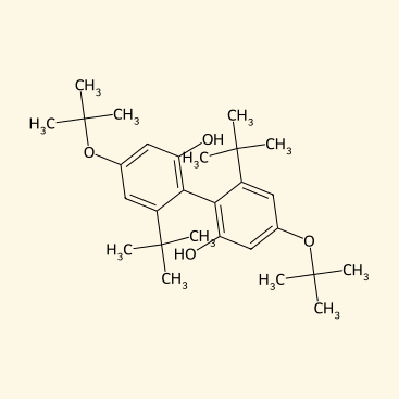 CC(C)(C)Oc1cc(O)c(-c2c(O)cc(OC(C)(C)C)cc2C(C)(C)C)c(C(C)(C)C)c1